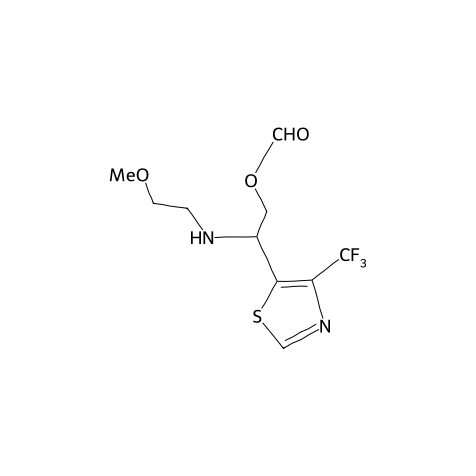 COCCNC(COC=O)c1scnc1C(F)(F)F